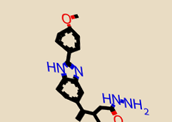 C=C(c1ccc2[nH]c(-c3ccc(OC)cc3)nc2c1)C(C)CC(=O)NN